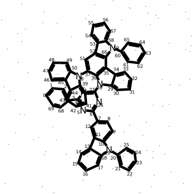 c1ccc(-c2nc(-c3ccc4c(c3)c3ccccc3n4-c3ccccc3)nc(-n3c4ccccc4c4c3c(-n3c5ccccc5c5ccccc53)cc3c5ccccc5n(-c5ccccc5)c34)n2)cc1